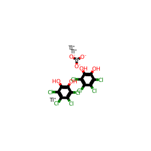 Oc1c(O)c(Cl)c(Cl)c(Cl)c1Cl.Oc1c(O)c(Cl)c(Cl)c(Cl)c1Cl.[O-]B([O-])[O-].[Tl+].[Tl+].[Tl+]